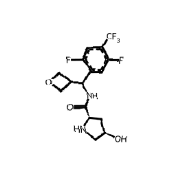 O=C(NC(c1cc(F)c(C(F)(F)F)cc1F)C1COC1)[C@H]1C[C@@H](O)CN1